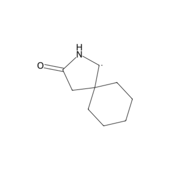 O=C1CC2([CH]N1)CCCCC2